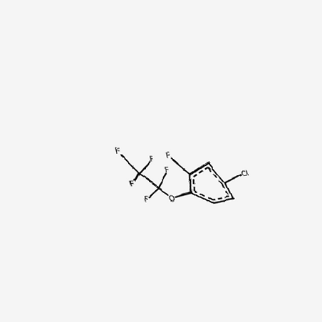 Fc1cc(Cl)ccc1OC(F)(F)C(F)(F)F